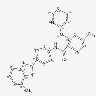 Cc1cnc(C(=O)Nc2ccc(-c3cn4cccc(C)c4n3)cc2)c(Oc2ccccn2)c1